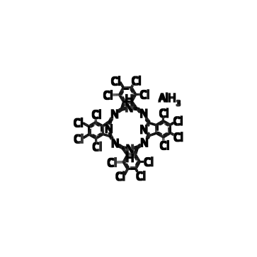 Clc1c(Cl)c(Cl)c2c(c1Cl)-c1nc-2nc2[nH]c(nc3nc(nc4[nH]c(n1)c1c(Cl)c(Cl)c(Cl)c(Cl)c41)-c1c(Cl)c(Cl)c(Cl)c(Cl)c1-3)c1c(Cl)c(Cl)c(Cl)c(Cl)c21.[AlH3]